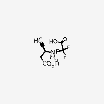 C#CC(N)CC(=O)O.O=C(O)C(F)(F)F